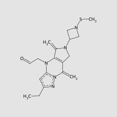 C=C1C2=C(CN1C1CN(SC)C1)C(=C)n1nc(CC)cc1N2CC=O